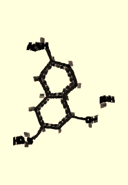 CC(=O)Nc1ccc2c(O)cc(S(=O)(=O)O)cc2c1.[NaH]